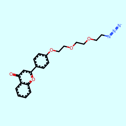 [N-]=[N+]=NCCOCCOCCOc1ccc(-c2cc(=O)c3ccccc3o2)cc1